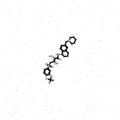 O=C(N[C@@H]1CCCc2cc(CN3CCCCC3)ccc21)[C@H](O)[C@H](O)CS(=O)(=O)c1cccc(OC(F)(F)F)c1